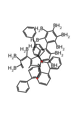 BC(=C)/C(B)=C(/B)c1c(C)n(-c2ccccc2-c2ccccc2N(c2ccc(-c3ccccc3)cc2)c2ccc(-c3ccccc3)cc2)c2c(B)c(B)c(-c3c(B)c(B)c(B)c(B)c3B)c(B)c12